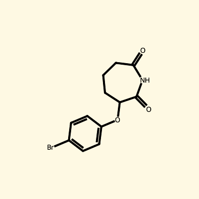 O=C1CCCC(Oc2ccc(Br)cc2)C(=O)N1